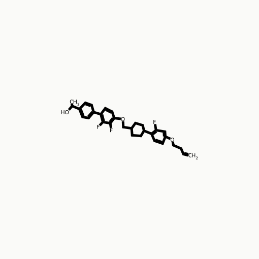 C=CCCOc1ccc(C2CCC(COc3ccc(-c4ccc(C(C)O)cc4)c(F)c3F)CC2)c(F)c1